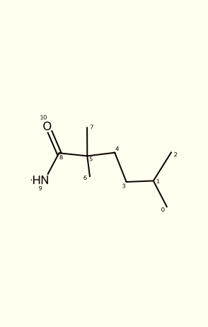 CC(C)CCC(C)(C)C([NH])=O